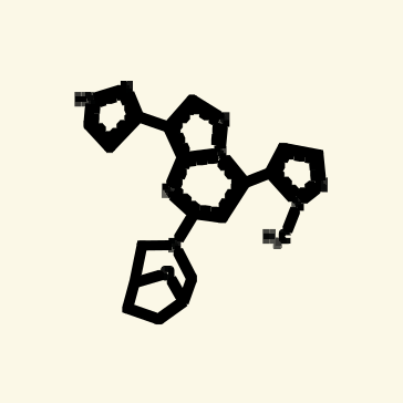 Cn1nccc1-c1cc(N2CC3CCC(C2)O3)nc2c(-c3cc[nH]n3)cnn12